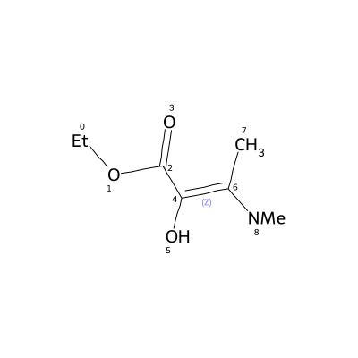 CCOC(=O)/C(O)=C(\C)NC